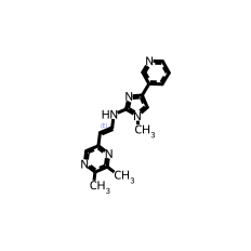 Cc1ncc(/C=C/Nc2nc(-c3cccnc3)cn2C)nc1C